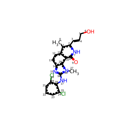 Cc1c(/C=C/CO)[nH]c(=O)c2c1ccc1nc(Nc3c(Cl)cccc3Cl)n(C)c12